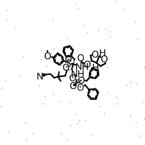 COc1ccc(S(=O)(=O)[C@](Cc2ccccc2)(NC(=O)O[C@H]2CO[C@H]3OCC[C@H]32)[C@@H](CCC(C)(C)CCC#N)NOP(=O)(OCc2ccccc2)OCc2ccccc2)cc1